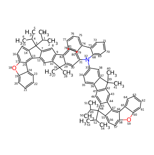 CC(C)C1(C(C)C)c2cc3c(cc2-c2c1ccc1oc4ccccc4c21)C(C)(C)c1cc(N(c2ccc4c(c2)C(C)(C)c2cc5c(cc2-4)C(C(C)C)(C(C)C)c2ccc4oc6ccccc6c4c2-5)c2ccccc2-c2ccccc2)ccc1-3